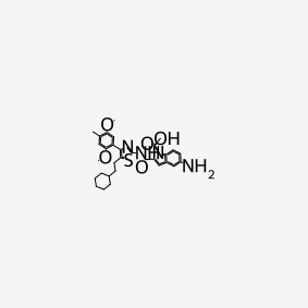 COc1cc(-c2nc(NC(=O)c3cc4cc(N)ccc4n3C(=O)O)sc2CCC2CCCCC2)c(OC)cc1C